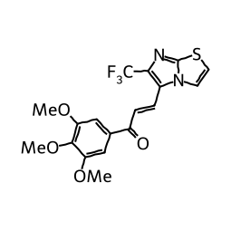 COc1cc(C(=O)C=Cc2c(C(F)(F)F)nc3sccn23)cc(OC)c1OC